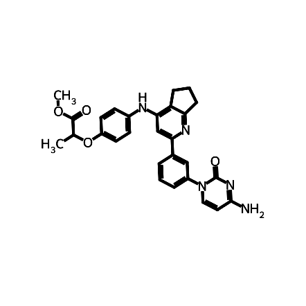 COC(=O)C(C)Oc1ccc(Nc2cc(-c3cccc(-n4ccc(N)nc4=O)c3)nc3c2CCC3)cc1